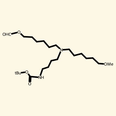 COCCCCCCN(CCCCCCOC=O)CCCCNC(=O)OC(C)(C)C